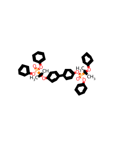 CC(C)(Oc1ccc(-c2ccc(OP(=O)(Oc3ccccc3)C(C)(C)Oc3ccccc3)cc2)cc1)P(=O)(Oc1ccccc1)Oc1ccccc1